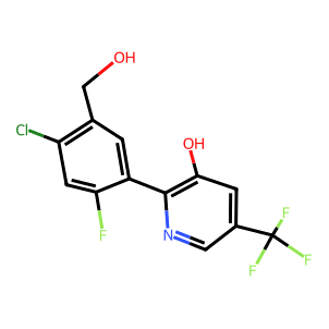 OCc1cc(-c2ncc(C(F)(F)F)cc2O)c(F)cc1Cl